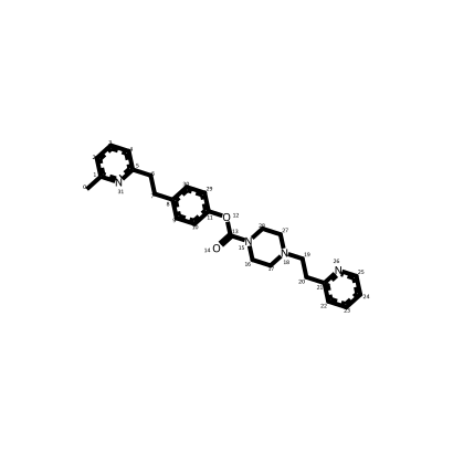 Cc1cccc(CCc2ccc(OC(=O)N3CCN(CCc4ccccn4)CC3)cc2)n1